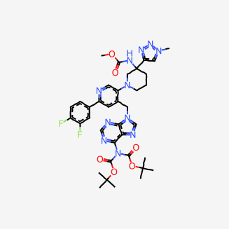 COC(=O)NC1(c2cn(C)nn2)CCCN(c2cnc(-c3ccc(F)c(F)c3)cc2Cn2cnc3c(N(C(=O)OC(C)(C)C)C(=O)OC(C)(C)C)ncnc32)C1